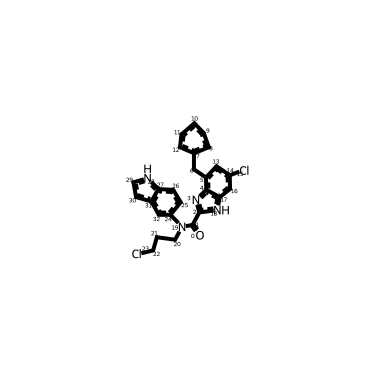 O=C(c1nc2c(Cc3ccccc3)cc(Cl)cc2[nH]1)N(CCCCl)c1ccc2[nH]ccc2c1